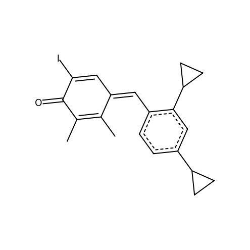 CC1=C(C)/C(=C\c2ccc(C3CC3)cc2C2CC2)C=C(I)C1=O